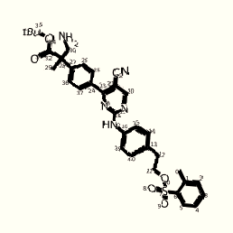 Cc1ccccc1S(=O)(=O)OCCc1ccc(Nc2ncc(C#N)c(-c3ccc(C(C)(CN)C(=O)OC(C)(C)C)cc3)n2)cc1